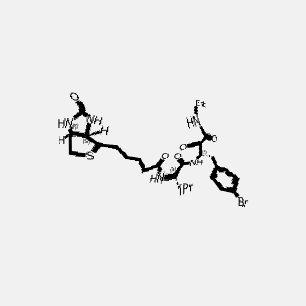 CCNC(=O)C(=O)[C@H](Cc1ccc(Br)cc1)NC(=O)[C@@H](NC(=O)CCCCC1SC[C@@H]2NC(=O)N[C@H]12)C(C)C